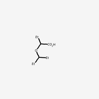 CCC(CC)OC(CC)C(=O)O